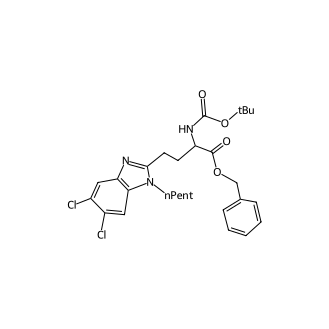 CCCCCn1c(CCC(NC(=O)OC(C)(C)C)C(=O)OCc2ccccc2)nc2cc(Cl)c(Cl)cc21